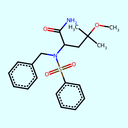 COC(C)(C)CC(C(N)=O)N(Cc1ccccc1)S(=O)(=O)c1ccccc1